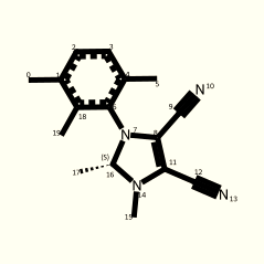 Cc1ccc(C)c(N2C(C#N)=C(C#N)N(C)[C@@H]2C)c1C